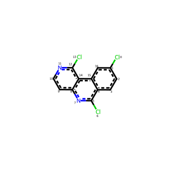 Clc1ccc2c(Cl)nc3ccnc(Cl)c3c2c1